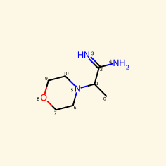 CC(C(=N)N)N1CCOCC1